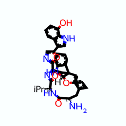 CC(C)[C@@H]1NC(=O)[C@@H](N)Cc2ccc3c(c2)C2(c4ccccc4N[C@H]2O3)c2oc1nc2-c1ncc(-c2c[nH]c3c(O)cccc23)o1